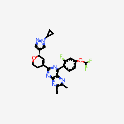 Cc1nc2nc(C3=C[C@H](c4cnn(C5CC5)c4)OCC3)nc(-c3ccc(OC(F)F)cc3F)c2nc1C